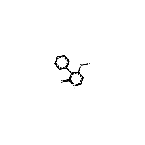 CCSc1cc[nH]c(=O)c1-c1ccccc1